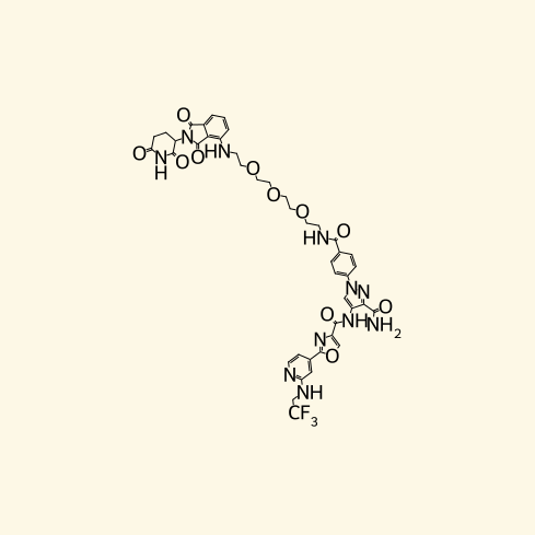 NC(=O)c1nn(-c2ccc(C(=O)NCCOCCOCCOCCNc3cccc4c3C(=O)N(C3CCC(=O)NC3=O)C4=O)cc2)cc1NC(=O)c1coc(-c2ccnc(NCC(F)(F)F)c2)n1